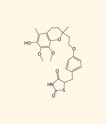 COc1c(O)c(C)c2c(c1OC)OC(C)(CCOc1ccc(CC3SC(=O)NC3=O)cc1)CC2